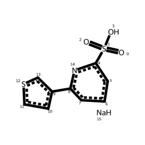 O=S(=O)(O)c1cccc(-c2ccsc2)n1.[NaH]